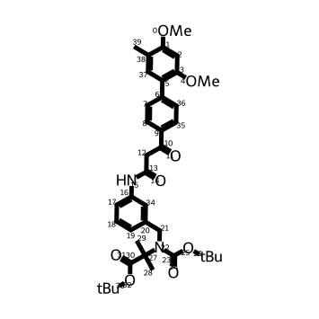 COc1cc(OC)c(-c2ccc(C(=O)CC(=O)Nc3cccc(CN(C(=O)OC(C)(C)C)C(C)(C)C(=O)OC(C)(C)C)c3)cc2)cc1C